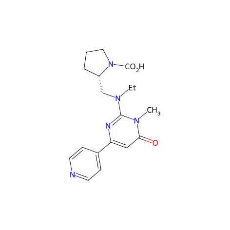 CCN(C[C@@H]1CCCN1C(=O)O)c1nc(-c2ccncc2)cc(=O)n1C